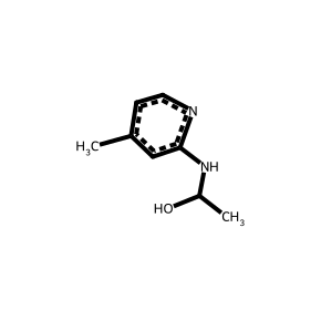 Cc1ccnc(NC(C)O)c1